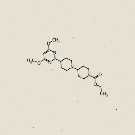 CCOC(=O)N1CCC(N2CCC(c3nc(OC)cc(OC)n3)CC2)CC1